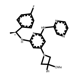 COC1(C(C)C)CN(c2cc(Nc3cnccn3)nc(N[C@@H](C)c3ccc(F)cc3)c2)C1